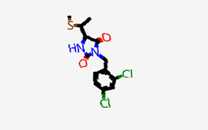 CSC(C)C1NC(=O)N(Cc2ccc(Cl)cc2Cl)C1=O